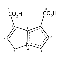 O=C(O)C1=CCn2ccc(C(=O)O)c21